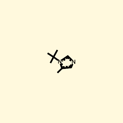 Cc1cncn1C(C)(C)C